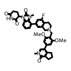 COc1cc(-c2cn(C)c(=O)c3c2CCC3)cc(OC)c1CN1CCc2c(F)cc(-c3cccc4c3n(C)c(=O)n4C3CCC(=O)NC3=O)cc2C1